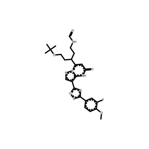 COc1ccc(-c2noc(-c3cnn4c(C(CCNC=O)CCOC(C)(C)C)cc(=O)[nH]c34)n2)cc1F